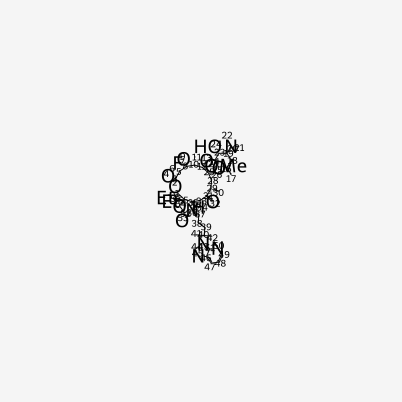 CC[C@H]1OC(=O)[C@@](C)(F)C(=O)[C@H](C)[C@@H](OC2O[C@H](C)C[C@H](N(C)C)[C@H]2O)[C@@](C)(OC)C[C@@H](C)C(=O)[C@H](C)[C@H]2N(CCCC(C)(C)n3cnc4cccnc43)C(=O)O[C@]12CC